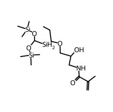 C=C(C)C(=O)NCC(O)COC(CC)[SiH2]C(O[Si](C)(C)C)O[Si](C)(C)C